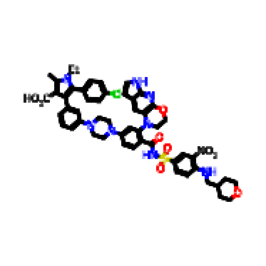 CCn1c(C)c(C(=O)O)c(-c2cccc(N3CCN(c4ccc(C(=O)NS(=O)(=O)c5ccc(NCC6CCOCC6)c([N+](=O)[O-])c5)c(N5CCOc6nc7[nH]ccc7cc65)c4)CC3)c2)c1-c1ccc(Cl)cc1